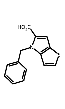 O=C(O)c1cc2sccc2n1Cc1ccccc1